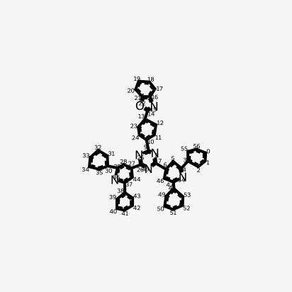 c1ccc(-c2cc(-c3nc(-c4ccc(-c5nc6ccccc6o5)cc4)nc(-c4cc(-c5ccccc5)nc(-c5ccccc5)c4)n3)cc(-c3ccccc3)n2)cc1